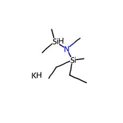 CC[Si](C)(CC)N(C)[SiH](C)C.[KH]